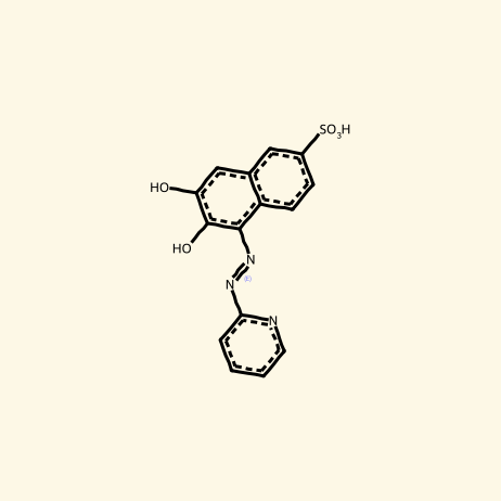 O=S(=O)(O)c1ccc2c(/N=N/c3ccccn3)c(O)c(O)cc2c1